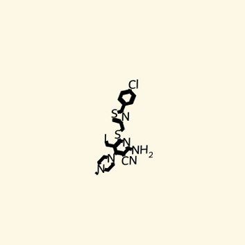 CN1CCN(c2c(C#N)c(N)nc(SCc3csc(-c4ccc(Cl)cc4)n3)c2CI)CC1